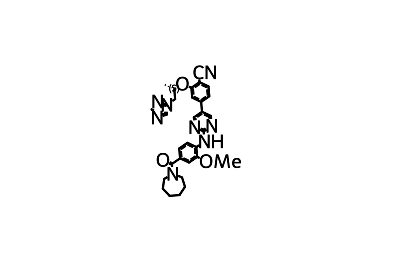 COc1cc(C(=O)N2CCCCCC2)ccc1Nc1ncc(-c2ccc(C#N)c(O[C@@H](C)Cn3cncn3)c2)cn1